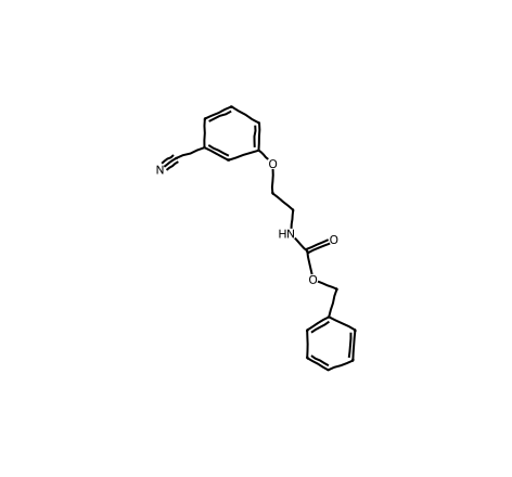 N#Cc1cccc(OCCNC(=O)OCc2ccccc2)c1